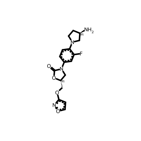 N[C@@H]1CCN(c2ccc(N3C[C@H](COc4ccon4)OC3=O)cc2F)C1